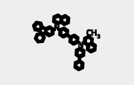 CC1C=C(N(c2ccc(-c3ccccc3)cc2)c2ccc(-c3ccc(N(c4ccc5c(c4)-c4ccccc4C54CCCCC4)c4cccc5ccccc45)cc3)cc2)c2ccccc2C1